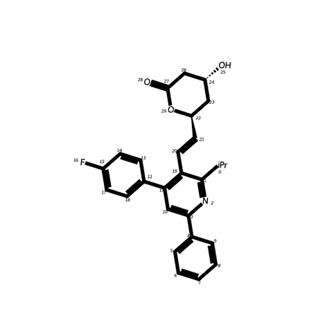 CC(C)c1nc(-c2ccccc2)cc(-c2ccc(F)cc2)c1C=C[C@@H]1C[C@@H](O)CC(=O)O1